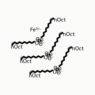 CCCCCCCC/C=C\CCCCCCCCOP(=O)([O-])OCCCCCCCC/C=C\CCCCCCCC.CCCCCCCC/C=C\CCCCCCCCOP(=O)([O-])OCCCCCCCC/C=C\CCCCCCCC.CCCCCCCC/C=C\CCCCCCCCOP(=O)([O-])OCCCCCCCC/C=C\CCCCCCCC.[Fe+3]